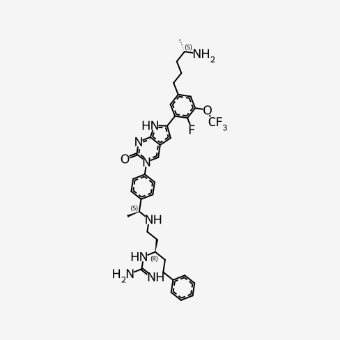 C[C@H](N)CCCc1cc(OC(F)(F)F)c(F)c(-c2cc3cn(-c4ccc([C@H](C)NCC[C@@H](CCc5ccccc5)NC(=N)N)cc4)c(=O)nc3[nH]2)c1